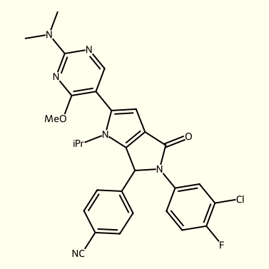 COc1nc(N(C)C)ncc1-c1cc2c(n1C(C)C)C(c1ccc(C#N)cc1)N(c1ccc(F)c(Cl)c1)C2=O